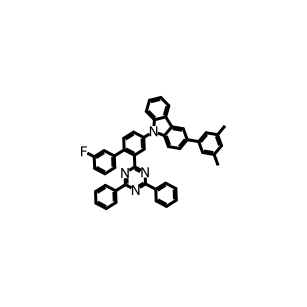 Cc1cc(C)cc(-c2ccc3c(c2)c2ccccc2n3-c2ccc(-c3cccc(F)c3)c(-c3nc(-c4ccccc4)nc(-c4ccccc4)n3)c2)c1